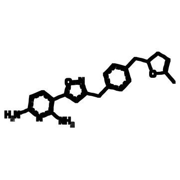 CC1=CCC(Cc2ccc(Cc3cc(-c4ccc(N)nc4N)on3)cc2)O1